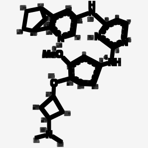 COc1cc(Nc2nccc(Nc3cnc4c(c3)C3CCC4C3)n2)ccc1OC1CC(N(C)C)C1